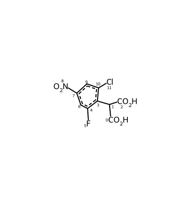 O=C(O)C(C(=O)O)c1c(F)cc([N+](=O)[O-])cc1Cl